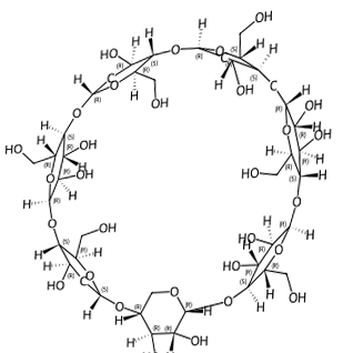 OC[C@H]1O[C@H]2C[C@@H](O)[C@@H]1C[C@H]1O[C@H](CO)[C@@H](O[C@H]3O[C@H](CO)[C@@H](O[C@H]4OC[C@@H](O[C@@H]5C[C@@H](O)[C@H](O[C@H]6O[C@H](CO)[C@@H](O[C@@H]7C[C@@H](O)[C@H](O2)[C@@H](CO)O7)[C@H](O)[C@H]6O)[C@@H](CO)O5)[C@H](O)[C@H]4O)[C@H](O)[C@H]3O)[C@H](O)[C@H]1O